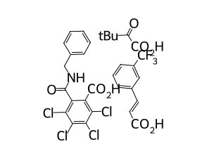 CC(C)(C)C(=O)C(=O)O.O=C(O)C=Cc1cccc(C(F)(F)F)c1.O=C(O)c1c(Cl)c(Cl)c(Cl)c(Cl)c1C(=O)NCc1ccccc1